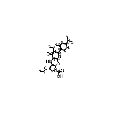 CCO[C@H]1CN(C(=O)O)C[C@H]1Nc1c(C)nc(-c2cnc(N(C)C)cc2C)n(CC)c1=O